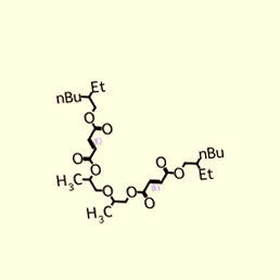 CCCCC(CC)COC(=O)/C=C/C(=O)OCC(C)OCC(C)OC(=O)/C=C/C(=O)OCC(CC)CCCC